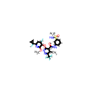 COc1nc(C2(F)CC2)cc(F)c1Oc1nnc(C(F)(F)F)c(C)c1C(=O)Nc1cccc(S(C)(=N)=O)c1